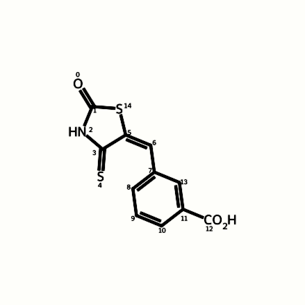 O=C1NC(=S)/C(=C\c2cccc(C(=O)O)c2)S1